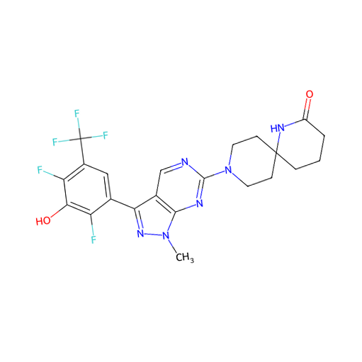 Cn1nc(-c2cc(C(F)(F)F)c(F)c(O)c2F)c2cnc(N3CCC4(CCCC(=O)N4)CC3)nc21